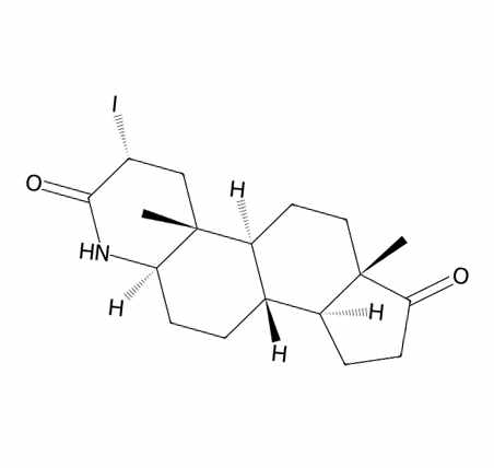 C[C@]12C[C@@H](I)C(=O)N[C@@H]1CC[C@@H]1[C@@H]2CC[C@]2(C)C(=O)CC[C@@H]12